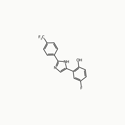 Oc1ccc(F)cc1-c1cnc(-c2ccc(C(F)(F)F)cc2)[nH]1